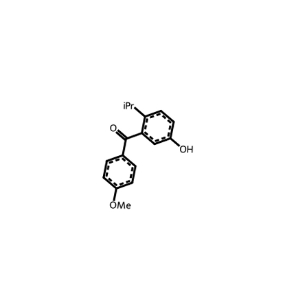 COc1ccc(C(=O)c2cc(O)ccc2C(C)C)cc1